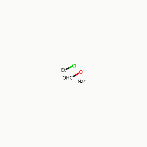 CCCl.O=C[O-].[Na+]